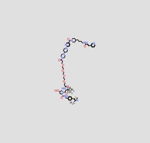 Cc1ncsc1-c1ccc(CNC(=O)[C@@H]2C[C@@H](O)CN2C(=O)[C@@H](NC(=O)CCOCCOCCOCCOCCC(=O)N2CCN(C3CCN(c4ccc(C(=O)N5CCC(CCCCNC(=O)/C=C/c6cccnc6)CC5)cn4)CC3)CC2)C(C)(C)C)cc1